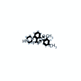 Cc1ccc(S(=O)(=O)c2cccc(N3CCNCC3)c2C(F)F)c(C)c1